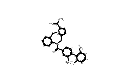 Cc1cc(C(=O)N2Cc3ccc(C(=O)C(Cl)(Cl)Cl)n3Cc3ccccc32)ccc1-c1c(C)cccc1C